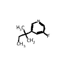 CCC(C)(C)c1cncc(F)c1